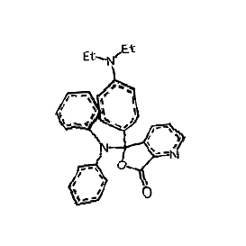 CCN(CC)c1ccc(C2(N(c3ccccc3)c3ccccc3)OC(=O)c3ncccc32)cc1